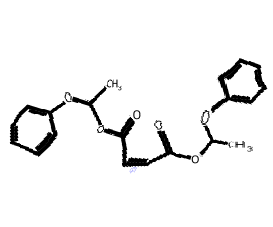 CC(OC(=O)/C=C\C(=O)OC(C)Oc1ccccc1)Oc1ccccc1